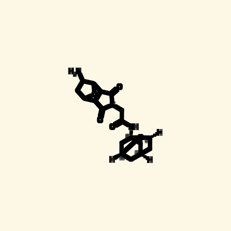 NC1CC2OC1C1C(=O)N(CC(=O)N[C@@]34C[C@@H]5C[C@@H](C[C@H](C5)O3)C4)C(=O)C21